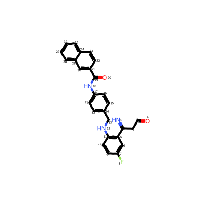 N=C(CC=O)c1cc(F)ccc1NCc1ccc(NC(=O)c2ccc3ccccc3c2)cc1